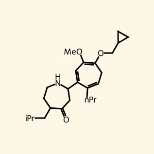 CCCC1=CCC(OCC2CC2)=C(OC)C=C1C1CC(=O)C(CC(C)C)CCN1